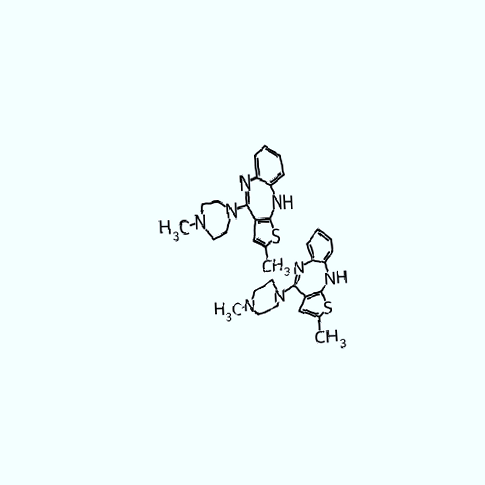 Cc1cc2c(s1)Nc1ccccc1N=C2N1CCN(C)CC1.Cc1cc2c(s1)Nc1ccccc1N=C2N1CCN(C)CC1